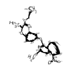 CCOC(=O)C(C)Oc1ccc(Oc2nc(C)cc3c([N+](=O)[O-])cccc23)cc1